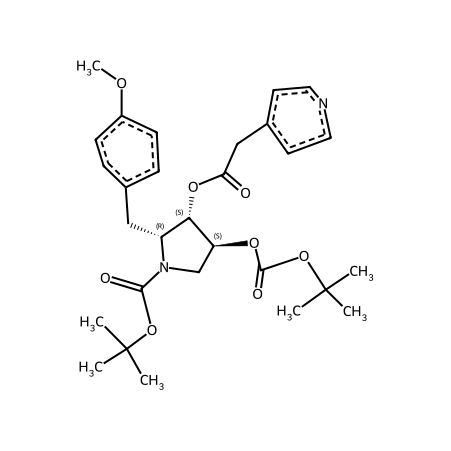 COc1ccc(C[C@@H]2[C@H](OC(=O)Cc3ccncc3)[C@@H](OC(=O)OC(C)(C)C)CN2C(=O)OC(C)(C)C)cc1